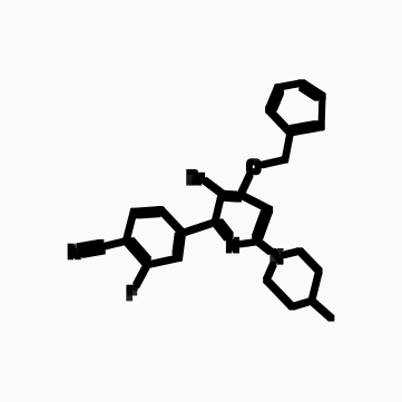 CC1CCN(c2cc(OCc3ccccc3)c(Br)c(-c3ccc(C#N)c(F)c3)n2)CC1